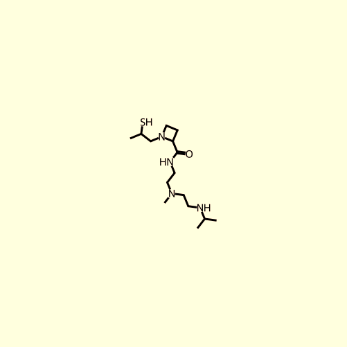 CC(S)CN1CCC1C(=O)NCCN(C)CCNC(C)C